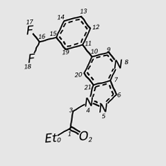 CCC(=O)Cn1ncc2ncc(-c3cccc(C(F)F)c3)cc21